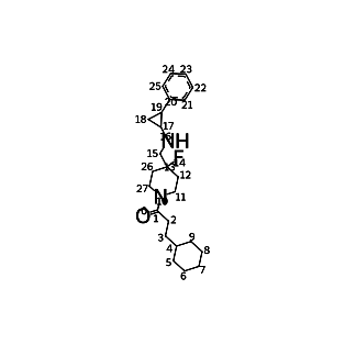 O=C(CCC1CCCCC1)N1CCC(F)(CNC2CC2c2ccccc2)CC1